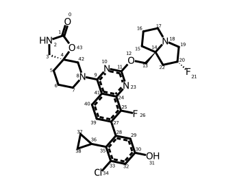 O=C1NC[C@]2(CCCN(c3nc(OC[C@@]45CCCN4C[C@H](F)C5)nc4c(F)c(-c5cc(O)cc(Cl)c5C5CC5)ccc34)C2)O1